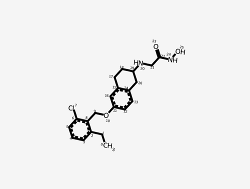 CCc1cccc(Cl)c1COc1ccc2c(c1)CCC(NCC(=O)NO)C2